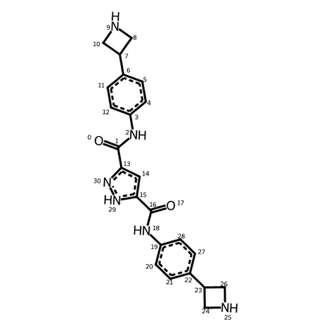 O=C(Nc1ccc(C2CNC2)cc1)c1cc(C(=O)Nc2ccc(C3CNC3)cc2)[nH]n1